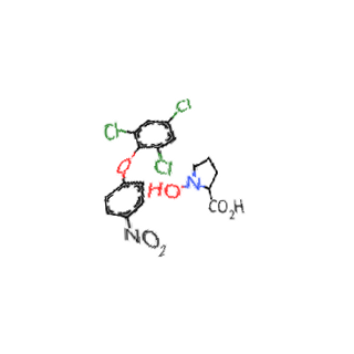 O=C(O)C1CCCN1O.O=[N+]([O-])c1ccc(Oc2c(Cl)cc(Cl)cc2Cl)cc1